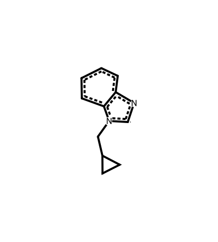 [c]1nc2ccccc2n1CC1CC1